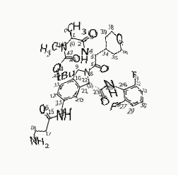 C[C@@H](C(=O)NC(C(=O)N1Cc2ccc(NC(=O)CCN)cc2[C@H]1C(=O)Nc1c(F)cccc1F)C1CCOCC1)N(C)C(=O)OC(C)(C)C